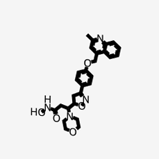 Cc1cc(COc2ccc(C3=NOC(C(CC(=O)NO)N4CCOCC4)C3)cc2)c2ccccc2n1